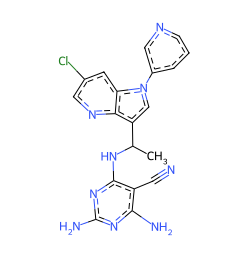 CC(Nc1nc(N)nc(N)c1C#N)c1cn(-c2cccnc2)c2cc(Cl)cnc12